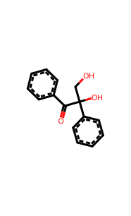 O=C(c1ccccc1)C(O)(CO)c1ccccc1